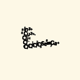 [Cl-].[Cl-].[Cl-].[Cl-].[Cl-].[Cl-].[Cu+2].[Ga+]=[Se].[In+3]